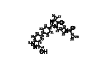 Cn1nc(CO)c2cc(-c3ccc(C4=NC5(CC5)C(=O)N4CC4CN(C(=O)C5CC5)C4)cc3)ccc21